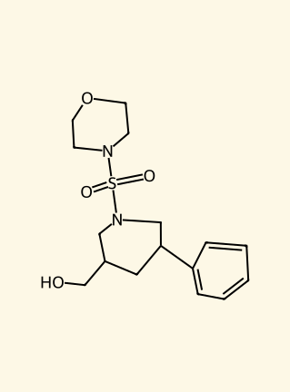 O=S(=O)(N1CCOCC1)N1CC(CO)CC(c2ccccc2)C1